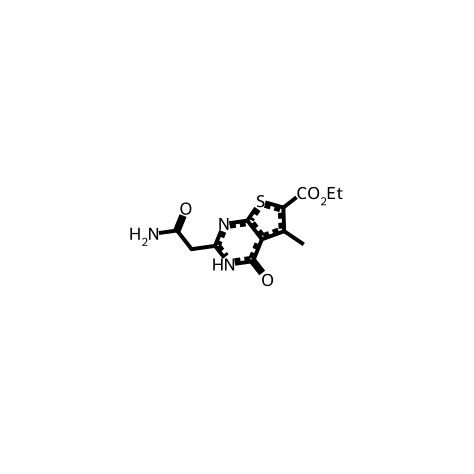 CCOC(=O)c1sc2nc(CC(N)=O)[nH]c(=O)c2c1C